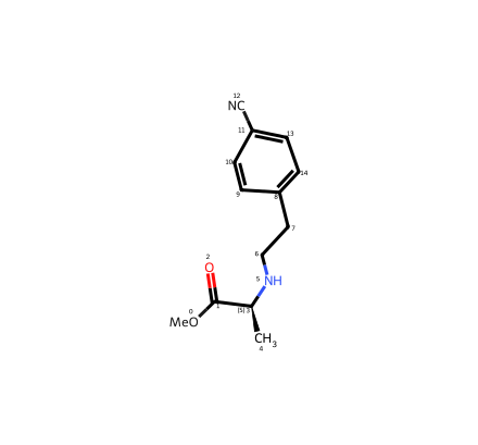 COC(=O)[C@H](C)NCCc1ccc(C#N)cc1